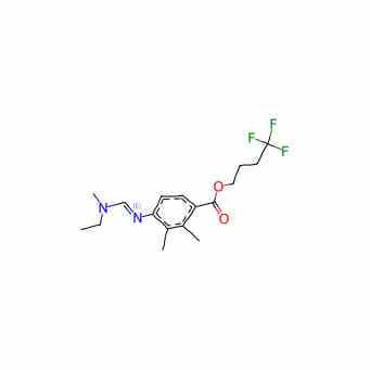 CCN(C)/C=N/c1ccc(C(=O)OCCCC(F)(F)F)c(C)c1C